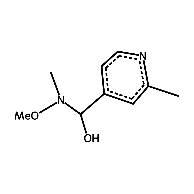 CON(C)C(O)c1ccnc(C)c1